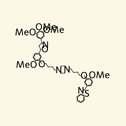 COc1ccc(-c2nc3ccccc3s2)cc1OCCCCN1CCN(CCCCOc2cc(C3CC(c4cc(OC)c(OC)c(OC)c4)=NO3)ccc2OC)CC1